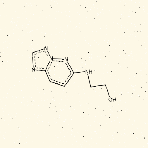 OCCNc1ccc2ncnn2n1